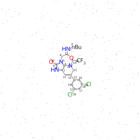 CCCCNC(=O)Cn1c2c([nH]c1=O)C=C(c1cc(Cl)cc(Cl)c1)CN2CC(F)(F)F